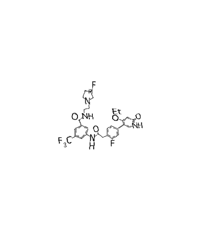 CCOc1cc(=O)[nH]cc1-c1ccc(CC(=O)Nc2cc(C(=O)NCCN3CC[C@@H](F)C3)cc(C(F)(F)F)c2)c(F)c1